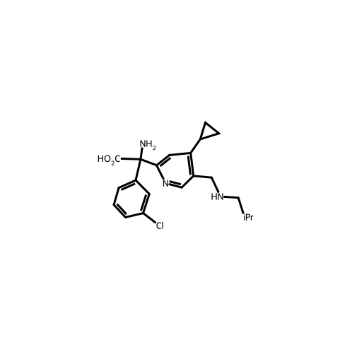 CC(C)CNCc1cnc(C(N)(C(=O)O)c2cccc(Cl)c2)cc1C1CC1